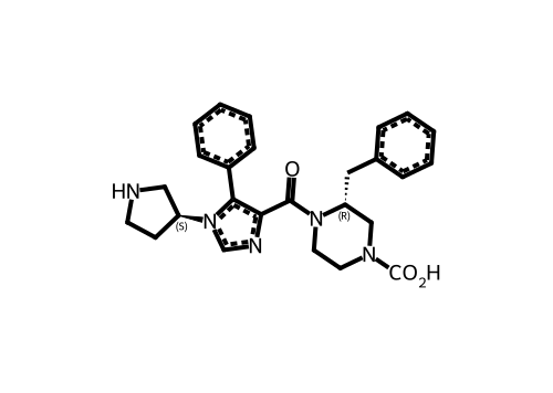 O=C(O)N1CCN(C(=O)c2ncn([C@H]3CCNC3)c2-c2ccccc2)[C@H](Cc2ccccc2)C1